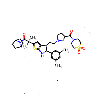 Cc1cc(C)cc(C2Nc3sc(C(C)(C)C(=O)N4C5CCC4CC5)cc3C2CCN2CCC(C(=O)N3CCS(=O)(=O)CC3)C2)c1